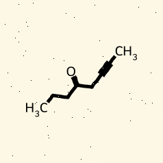 CC#CCC(=O)CCC